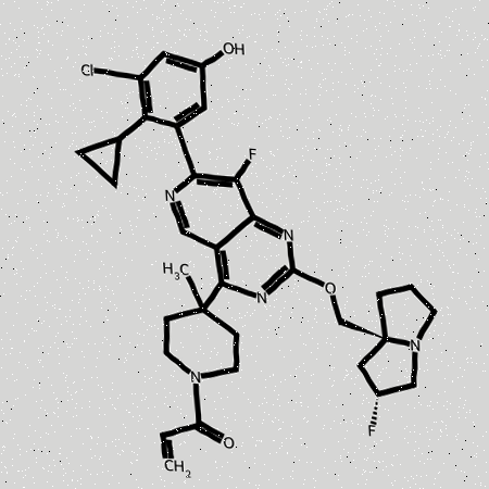 C=CC(=O)N1CCC(C)(c2nc(OC[C@@]34CCCN3C[C@H](F)C4)nc3c(F)c(-c4cc(O)cc(Cl)c4C4CC4)ncc23)CC1